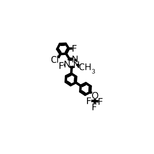 CN1N=C(c2c(F)cccc2Cl)N(F)C1c1cccc(-c2ccc(OC(F)(F)F)cc2)c1